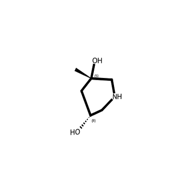 C[C@@]1(O)CNC[C@H](O)C1